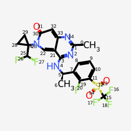 Cc1nc(N[C@H](C)c2cccc(S(=O)(=O)C(F)(F)F)c2F)c2cn(C3(C(F)F)CC3)c(=O)cc2n1